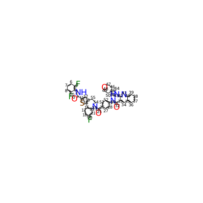 O=C(Nc1c(F)cccc1F)c1cc2c(s1)-c1ccc(F)cc1N(C(=O)c1ccc(NC(=O)c3cc4ccccc4nc3N3CC4(CCOCC4)C3)cc1)CC2